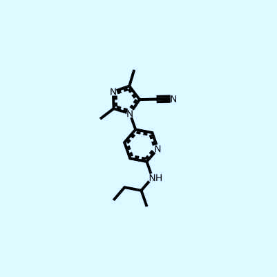 CCC(C)Nc1ccc(-n2c(C)nc(C)c2C#N)cn1